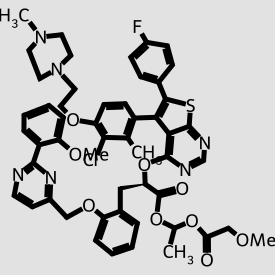 COCC(=O)OC(C)OC(=O)[C@@H](Cc1ccccc1OCc1ccnc(-c2ccccc2OC)n1)Oc1ncnc2sc(-c3ccc(F)cc3)c(-c3ccc(OCCN4CCN(C)CC4)c(Cl)c3C)c12